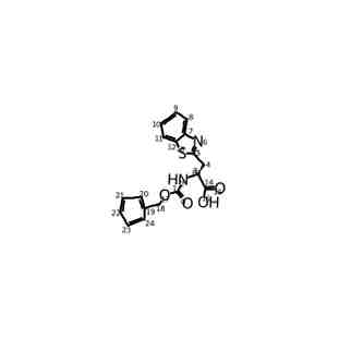 O=C(N[C@@H](Cc1nc2ccccc2s1)C(=O)O)OCc1ccccc1